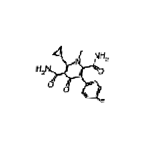 Cn1c(C(N)=O)c(-c2ccc(F)cc2)c(=O)c(C(N)=O)c1C1CC1